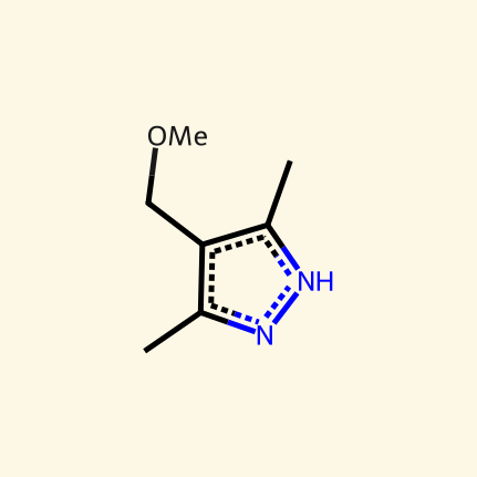 COCc1c(C)n[nH]c1C